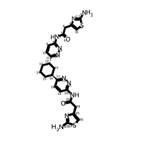 Nc1nc(CC(=O)Nc2ccc([C@H]3CCC[C@H](c4ccc(NC(=O)Cc5csc(N)n5)nn4)C3)nn2)cs1